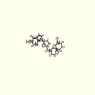 CC1=c2ccn(C3CCC(CN4CCOC5(CCCN(C)C5)C4)O3)c2=NCN1